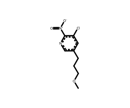 COCCCc1cnc([N+](=O)[O-])c(Cl)c1